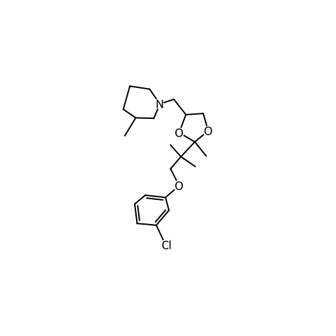 CC1CCCN(CC2COC(C)(C(C)(C)COc3cccc(Cl)c3)O2)C1